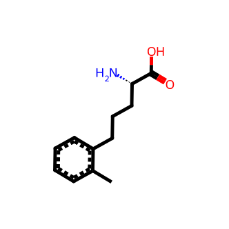 Cc1ccccc1CCC[C@H](N)C(=O)O